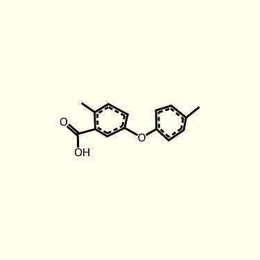 Cc1ccc(Oc2ccc(C)c(C(=O)O)c2)cc1